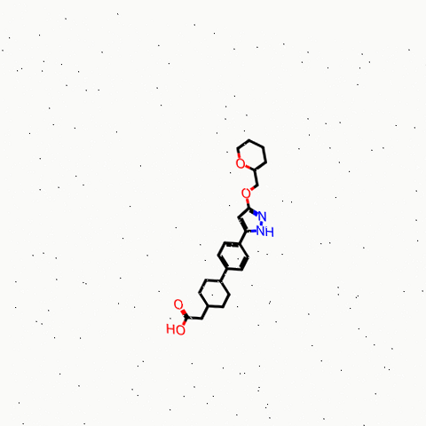 O=C(O)CC1CCC(c2ccc(-c3cc(OCC4CCCCO4)n[nH]3)cc2)CC1